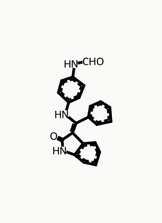 O=CNc1ccc(N/C(=C2\C(=O)Nc3ccccc32)c2ccccc2)cc1